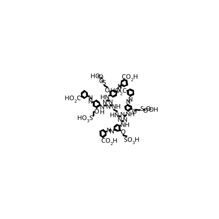 O=C(O)c1cccc(N=Nc2ccc(Nc3nc(NCCNc4nc(Nc5ccc(N=Nc6cccc(C(=O)O)c6)cc5OCCSOOO)nc(Nc5ccc(N=Nc6cccc(C(=O)O)c6)cc5OCCS(=O)(=O)O)n4)nc(Nc4ccc(N=Nc5cccc(C(=O)O)c5)cc4OCCS(=O)(=O)O)n3)c(OCCSOOO)c2)c1